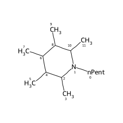 CCCCCN1C(C)C(C)C(C)C(C)C1C